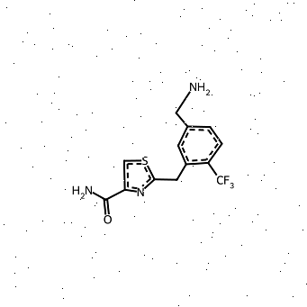 NCc1ccc(C(F)(F)F)c(Cc2nc(C(N)=O)cs2)c1